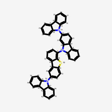 c1cc(-n2c3ccccc3c3ccc(-n4c5ccccc5c5ccccc54)cc32)c2sc3ccc(-n4c5ccccc5c5ccccc54)cc3c2c1